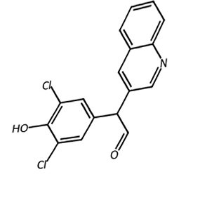 O=CC(c1cc(Cl)c(O)c(Cl)c1)c1cnc2ccccc2c1